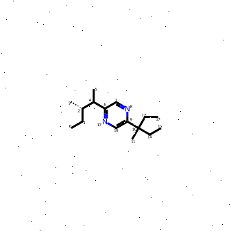 CC[C@H](C)C(C)c1cnc(C(C)(CC)CC)cn1